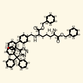 NC(CCCC(NCc1ccc(-c2ccccc2-c2nnnn2C(c2ccccc2)(c2ccccc2)c2ccccc2)cc1)C(=O)OCc1ccccc1)C(=O)OCc1ccccc1